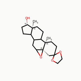 C[C@]12CCC3C(CC4O[C@@]45CC4(CC[C@]35C)OCCO4)C1CC[C@@H]2O